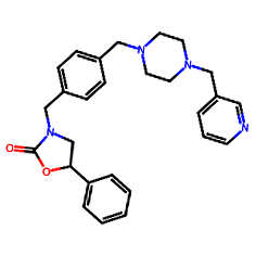 O=C1OC(c2ccccc2)CN1Cc1ccc(CN2CCN(Cc3cccnc3)CC2)cc1